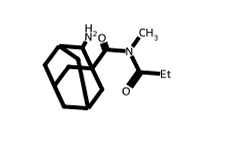 CCC(=O)N(C)C(=O)C12CC3CC(CC(C3)C1N)C2